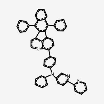 c1ccc(-c2c3c(c(-c4ccccc4)c4ccccc24)-c2ccc(-c4ccc(N(c5ccccc5)c5ccc(-c6ccccn6)nc5)cc4)c4cccc-3c24)cc1